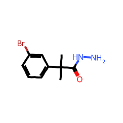 CC(C)(C(=O)NN)c1cccc(Br)c1